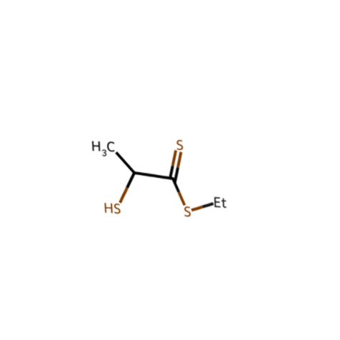 CCSC(=S)C(C)S